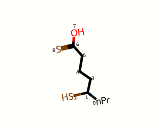 CCCC(S)CCCC(O)=S